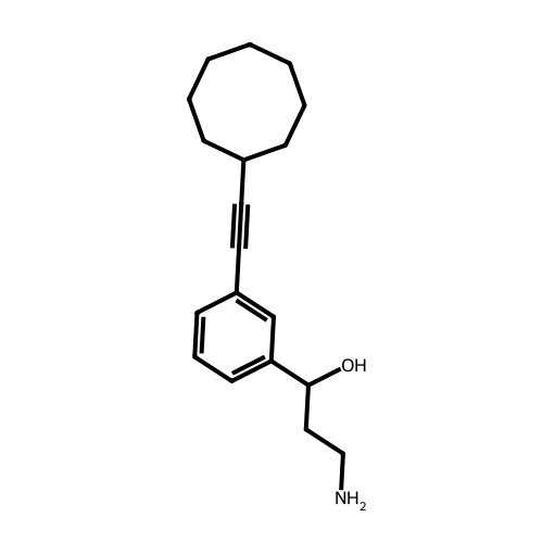 NCCC(O)c1cccc(C#CC2CCCCCCC2)c1